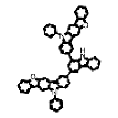 c1ccc(-n2c3ccc(-c4cc(-c5ccc6c(c5)c5cc7oc8ccccc8c7cc5n6-c5ccccc5)c5[nH]c6ccccc6c5c4)cc3c3cc4oc5ccccc5c4cc32)cc1